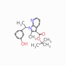 Cc1c(C(=O)OC(C)(C)C)c2cccnc2n1C(C)c1cccc(O)c1